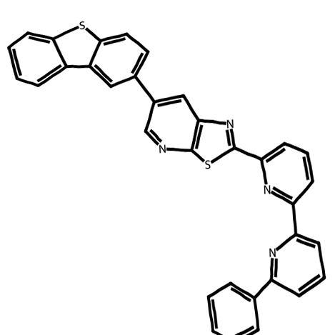 c1ccc(-c2cccc(-c3cccc(-c4nc5cc(-c6ccc7sc8ccccc8c7c6)cnc5s4)n3)n2)cc1